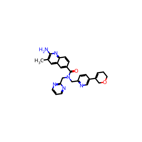 Cc1cc2cc(C(=O)N(Cc3ccc(C4=CCCOC4)cn3)Cc3ncccn3)ccc2nc1N